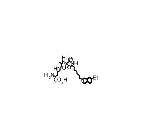 CCc1ccc2cnc(CCCCCCC(=O)NC(C(=O)NC(C)C(=O)NCCCC(N)C(=O)O)C(C)C)cc2c1